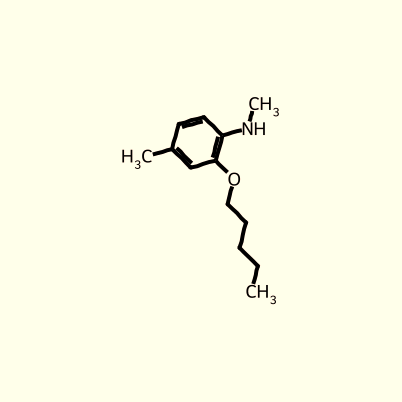 CCCCCOc1cc(C)ccc1NC